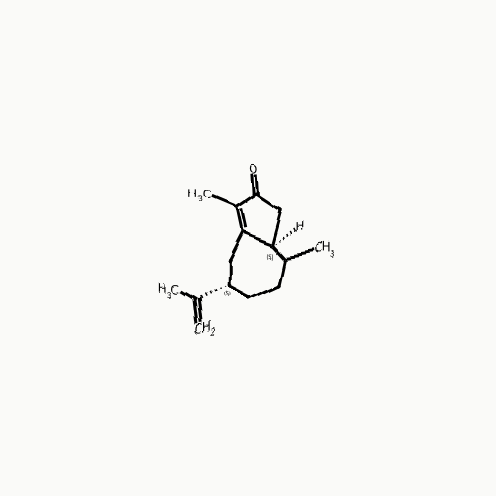 C=C(C)[C@H]1CCC(C)[C@@H]2CC(=O)C(C)=C2C1